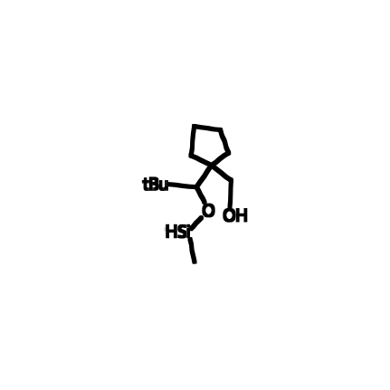 C[SiH](C)OC(C(C)(C)C)C1(CO)CCCC1